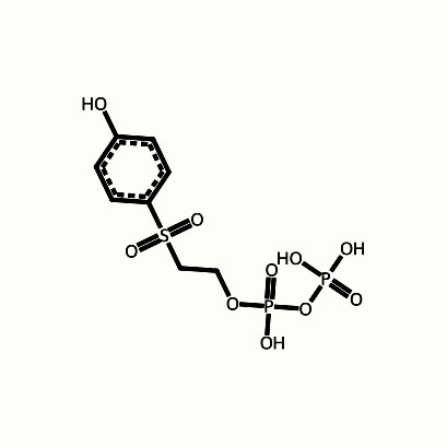 O=P(O)(O)OP(=O)(O)OCCS(=O)(=O)c1ccc(O)cc1